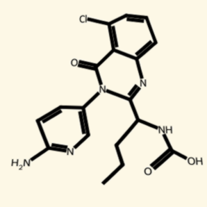 CCCC(NC(=O)O)c1nc2cccc(Cl)c2c(=O)n1-c1ccc(N)nc1